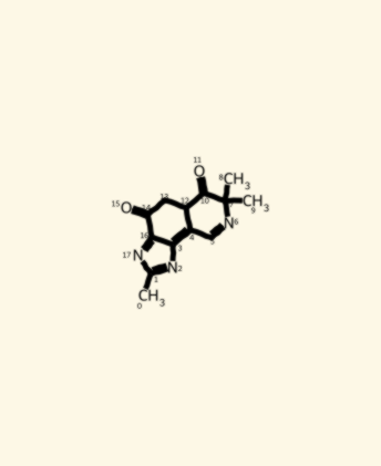 CC1=NC2=C3C=NC(C)(C)C(=O)C3CC(=O)C2=N1